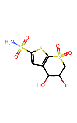 NS(=O)(=O)c1cc2c(s1)S(=O)(=O)CC(Br)C2O